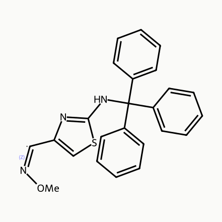 CO/N=[C]\c1csc(NC(c2ccccc2)(c2ccccc2)c2ccccc2)n1